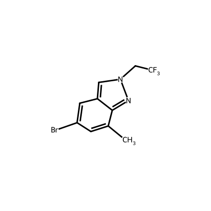 Cc1cc(Br)cc2cn(CC(F)(F)F)nc12